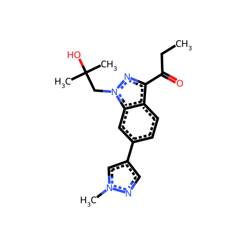 CCC(=O)c1nn(CC(C)(C)O)c2cc(-c3cnn(C)c3)ccc12